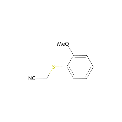 COc1ccccc1SCC#N